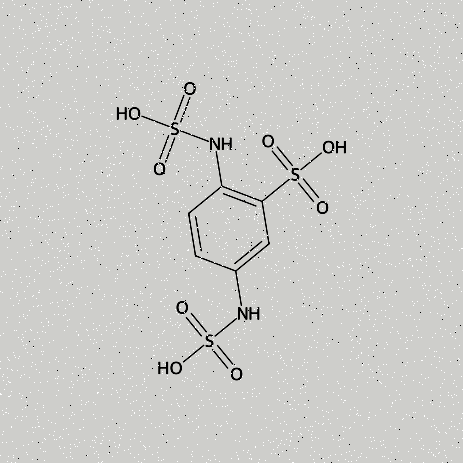 O=S(=O)(O)Nc1ccc(NS(=O)(=O)O)c(S(=O)(=O)O)c1